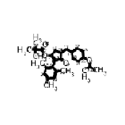 Cc1cc(C)c(C2=C(OC(=O)C(C)(C)C)CC(CC3CCC(OC(C)C)CC3)C2=O)c(C)c1